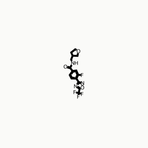 O=C(NCC1CCOC1)c1ccc(-c2noc(C(F)(F)F)n2)c(F)c1